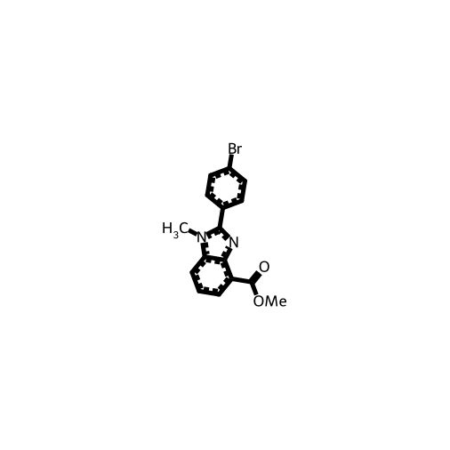 COC(=O)c1cccc2c1nc(-c1ccc(Br)cc1)n2C